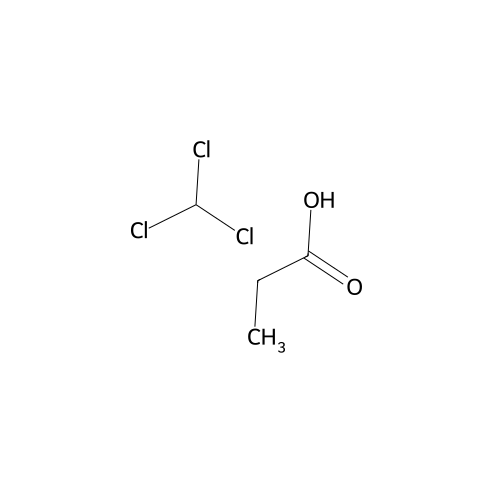 CCC(=O)O.ClC(Cl)Cl